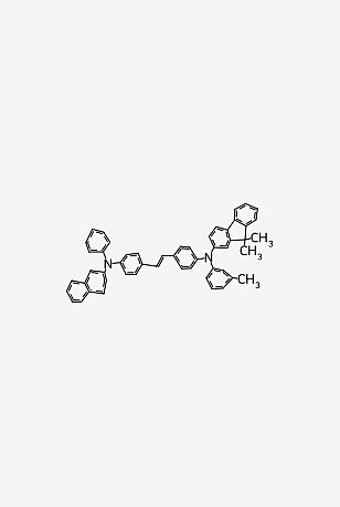 Cc1cccc(N(c2ccc(/C=C/c3ccc(N(c4ccccc4)c4ccc5ccccc5c4)cc3)cc2)c2ccc3c(c2)C(C)(C)c2ccccc2-3)c1